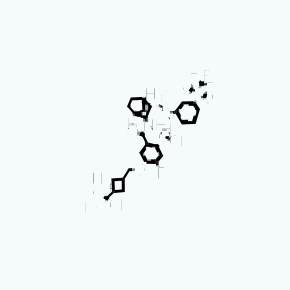 COc1cc(F)c(OCC2CC(C(C)(C)C)C2)cc1C(=O)N[C@@H]1[C@@H]2CC[C@@H](C2)[C@@H]1C(=O)Nc1cccc(S(=O)(=O)C(F)(F)F)c1